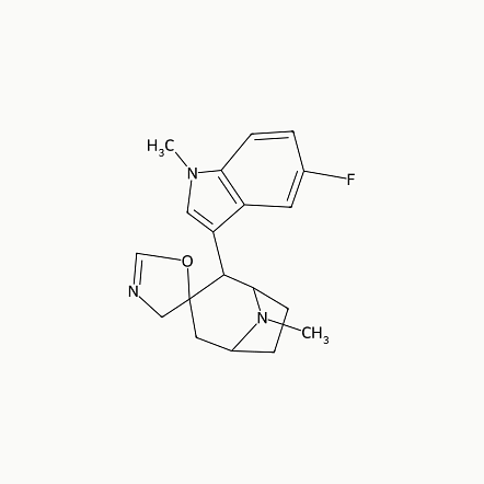 CN1C2CCC1C(c1cn(C)c3ccc(F)cc13)C1(CN=CO1)C2